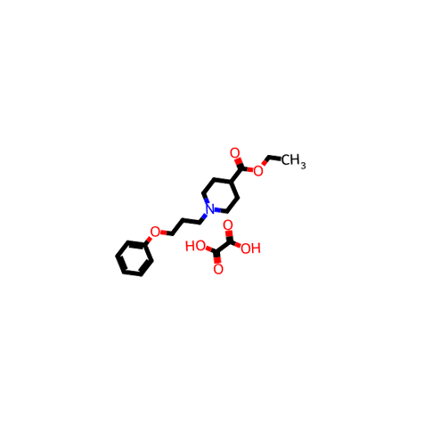 CCOC(=O)C1CCN(CCCOc2ccccc2)CC1.O=C(O)C(=O)O